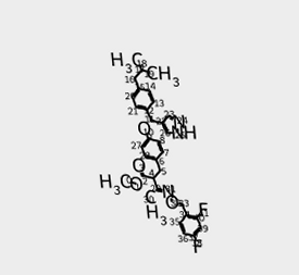 COC(=O)C(Cc1ccc(OC(c2ccc(CC(C)C)cc2)c2cn[nH]c2)cc1)C(C)=NOCc1ccc(F)cc1F